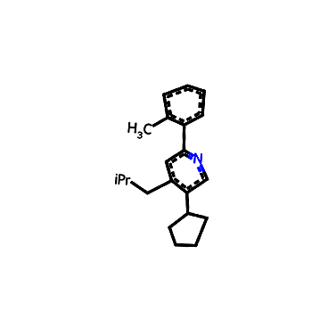 Cc1ccccc1-c1cc(CC(C)C)c(C2CCCC2)cn1